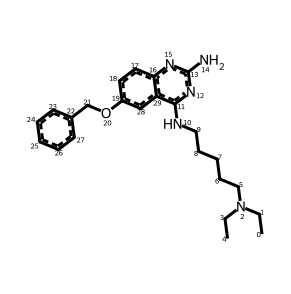 CCN(CC)CCCCCNc1nc(N)nc2ccc(OCc3ccccc3)cc12